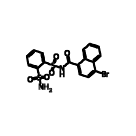 NS(=O)(=O)c1ccccc1S(=O)(=O)NC(=O)c1ccc(Br)c2ccccc12